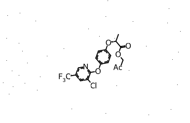 CC(=O)COC(=O)C(C)Oc1ccc(Oc2ncc(C(F)(F)F)cc2Cl)cc1